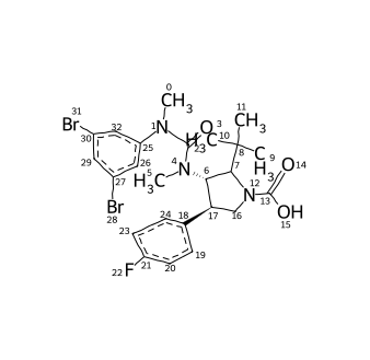 CN(C(=O)N(C)[C@@H]1C(C(C)(C)C)N(C(=O)O)C[C@H]1c1ccc(F)cc1)c1cc(Br)cc(Br)c1